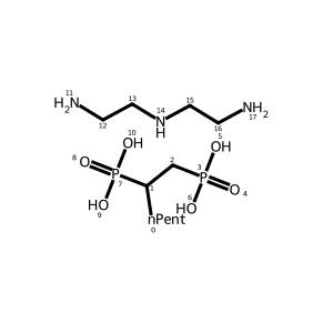 CCCCCC(CP(=O)(O)O)P(=O)(O)O.NCCNCCN